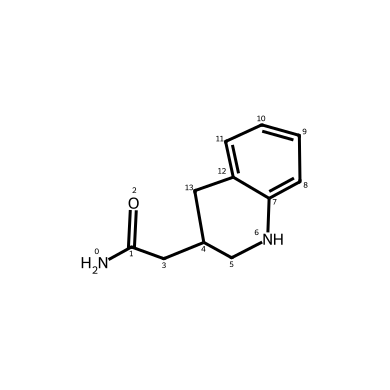 NC(=O)CC1CNc2ccccc2C1